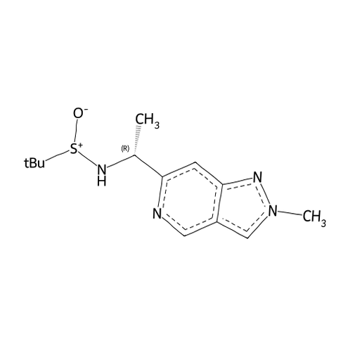 C[C@@H](N[S+]([O-])C(C)(C)C)c1cc2nn(C)cc2cn1